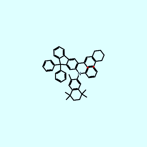 Cc1cc2c(cc1N(c1ccccc1)c1cc3c(cc1-c1ccc4c(c1)CCCC4)-c1ccccc1C3(c1ccccc1)c1ccccc1)C(C)(C)CCC2(C)C